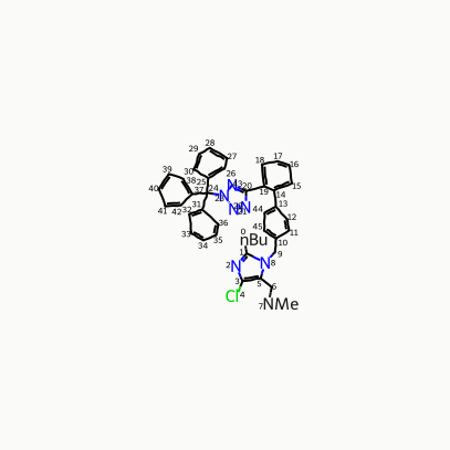 CCCCc1nc(Cl)c(CNC)n1Cc1ccc(-c2ccccc2-c2nnn(C(c3ccccc3)(c3ccccc3)c3ccccc3)n2)cc1